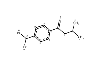 CC(C)CC(=O)c1ccc(C(Br)Br)cc1